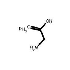 NCC(=O)O.P